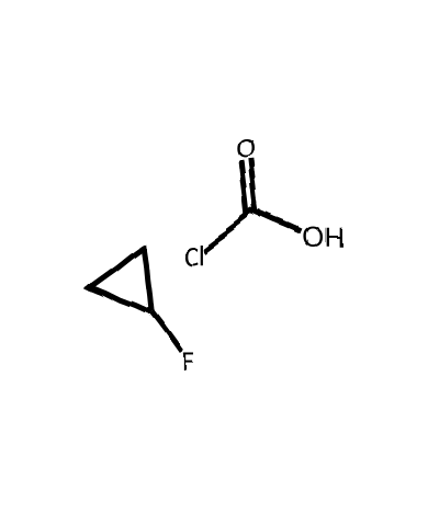 FC1CC1.O=C(O)Cl